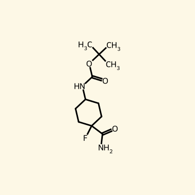 CC(C)(C)OC(=O)NC1CCC(F)(C(N)=O)CC1